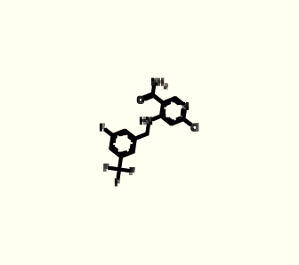 NC(=O)c1cnc(Cl)cc1NCc1cc(F)cc(C(F)(F)F)c1